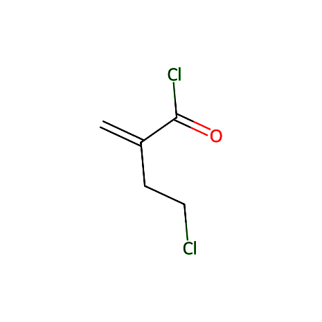 C=C(CCCl)C(=O)Cl